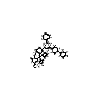 N#Cc1ccc2c(c1)C1(c3cc(-c4cc(-c5ccc(-c6ccccc6)cc5)nc(-c5ccccc5)n4)ccc3O2)c2ccccc2-c2ccccc21